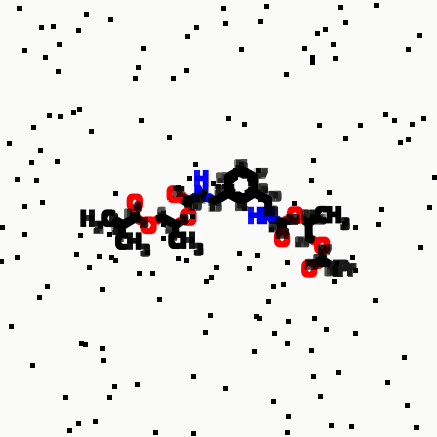 C=C(C)C(=O)OCC(C)OC(=O)NCc1cccc(CNC(=O)OC(C)COC(=O)C(C)C)c1